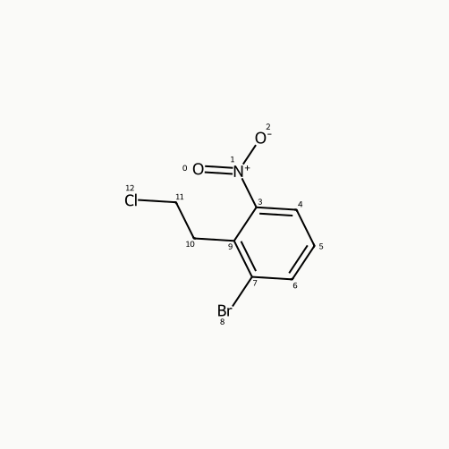 O=[N+]([O-])c1cccc(Br)c1CCCl